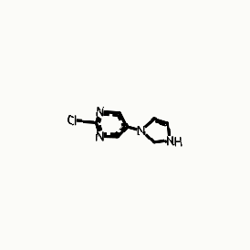 Clc1ncc(N2C=CNC2)cn1